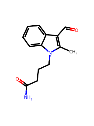 Cc1c(C=O)c2ccccc2n1CCCC(N)=O